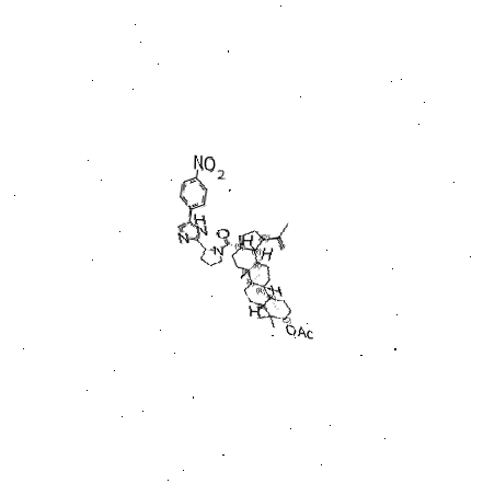 C=C(C)[C@@H]1CC[C@]2(C(=O)N3CCCC3c3ncc(-c4ccc([N+](=O)[O-])cc4)[nH]3)CC[C@]3(C)[C@H](CC[C@@H]4[C@@]5(C)CC[C@H](OC(C)=O)C(C)(C)[C@@H]5CC[C@]43C)[C@@H]12